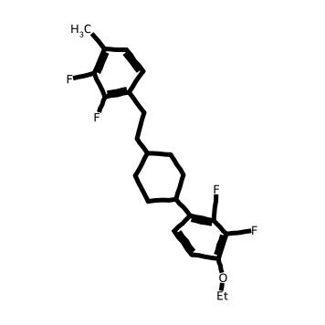 CCOc1ccc(C2CCC(CCc3ccc(C)c(F)c3F)CC2)c(F)c1F